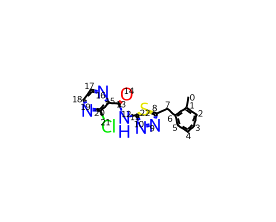 Cc1ccccc1Cc1nnc(NC(=O)c2nccnc2Cl)s1